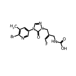 Cc1cc(-n2cnn(CC(=CF)CNC(=O)O)c2=O)cnc1Br